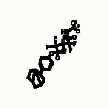 O=C(NS(=O)(=O)C(F)(F)C(F)(F)C(F)(F)S(=O)(=O)Oc1ccc(C23CC4CC(CC(C4)C2)C3)cc1)C(F)(F)F